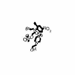 C#Cc1cc([N+](=O)[O-])cc(S(=O)(=O)N2CCN(CCO)CC2)c1N(CCBr)CCOS(C)(=O)=O